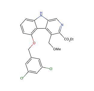 CCOC(=O)c1ncc2[nH]c3cccc(OCc4cc(Cl)cc(Cl)c4)c3c2c1COC